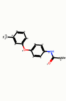 CNC(=O)Nc1ccc(Oc2cccc(C(F)(F)F)c2)cc1